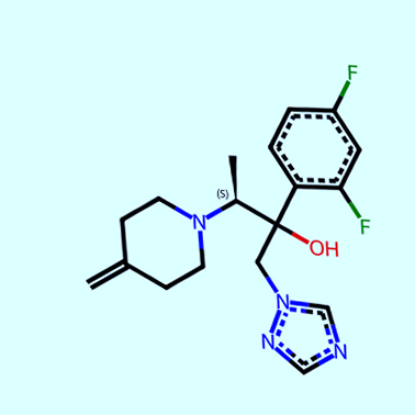 C=C1CCN([C@@H](C)C(O)(Cn2cncn2)c2ccc(F)cc2F)CC1